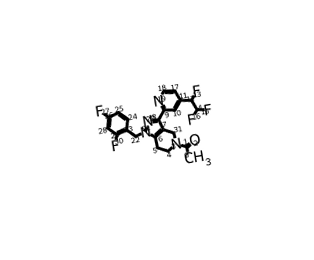 CC(=O)N1CCc2c(c(-c3cc(C(F)C(F)F)ccn3)nn2Cc2ccc(F)cc2F)C1